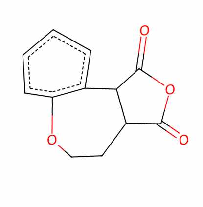 O=C1OC(=O)C2c3ccccc3OCCC12